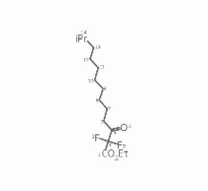 CCOC(=O)C(F)(F)C(=O)CCCCCCCCC(C)C